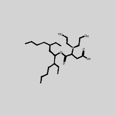 CCCCC(CC)CC(OC(=O)C(CC(=O)O)N(CCO)CCO)C(CC)CCCC